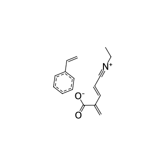 C=C(C=CC#[N+]CC)C(=O)[O-].C=Cc1ccccc1